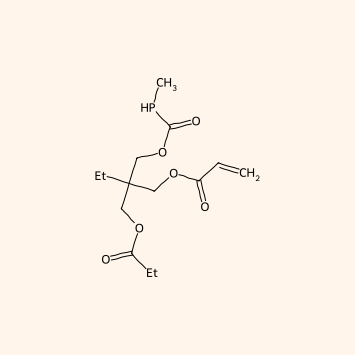 C=CC(=O)OCC(CC)(COC(=O)CC)COC(=O)PC